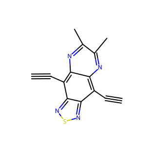 C#Cc1c2nsnc2c(C#C)c2nc(C)c(C)nc12